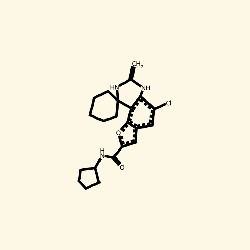 C=C1Nc2c(Cl)cc3cc(C(=O)NC4CCCC4)oc3c2C2(CCCCC2)N1